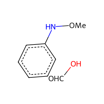 CONc1ccccc1.O=CO